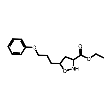 CCOC(=O)C1CC(CCCOc2ccccc2)ON1